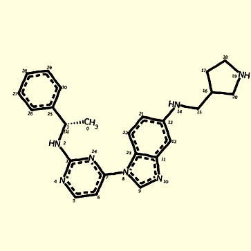 C[C@H](Nc1nccc(-n2cnc3cc(NCC4CCNC4)ccc32)n1)c1ccccc1